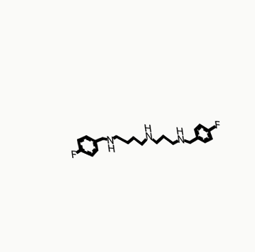 Fc1ccc(CNCCCCNCCCNCc2ccc(F)cc2)cc1